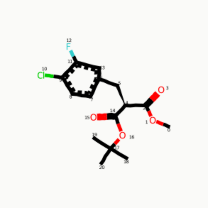 COC(=O)[C@H](Cc1ccc(Cl)c(F)c1)C(=O)OC(C)(C)C